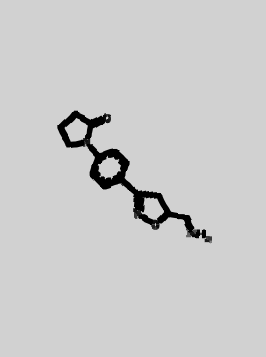 NCC1CC(c2ccc(N3CCCC3=O)cc2)=NO1